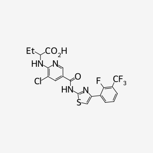 CCC(Nc1ncc(C(=O)Nc2nc(-c3cccc(C(F)(F)F)c3F)cs2)cc1Cl)C(=O)O